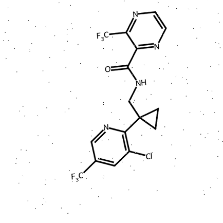 O=C(NCC1(c2ncc(C(F)(F)F)cc2Cl)CC1)c1nccnc1C(F)(F)F